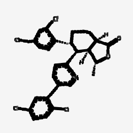 C[C@H]1OC(=O)[C@@H]2CC[C@@H](c3ccc(Cl)cc3Cl)[C@H](c3ccc(-c4cc(Cl)ccc4Cl)cn3)[C@H]12